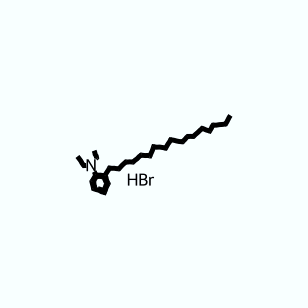 Br.CCCCCCCCCCCCCCCCCc1ccccc1N(CC)CC